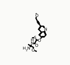 COCC#Cc1cnc2ccc(OC(SC)C(=O)NC(C)(N)COC)cc2c1